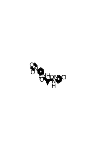 O=C(Nc1ccc(Cl)cn1)C1CC1C(=O)Nc1ccc(N2CCOCC2=O)cc1F